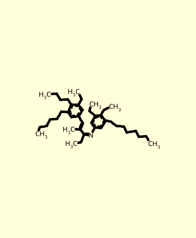 CCCCCCCCc1cc(N=C(CC)C(C)=Cc2cc(CC)c(CCCC)c(CCCCCC)c2)cc(CC)c1CC